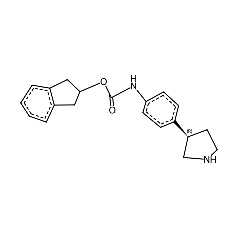 O=C(Nc1ccc([C@H]2CCNC2)cc1)OC1Cc2ccccc2C1